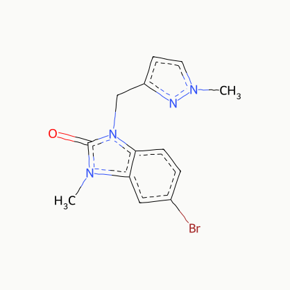 Cn1ccc(Cn2c(=O)n(C)c3cc(Br)ccc32)n1